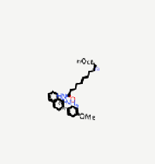 CCCCCCCC/C=C\CCCCCCCC(=O)N[C@]1(N)c2ccccc2CC[C@H]1c1ccc(OC)cc1